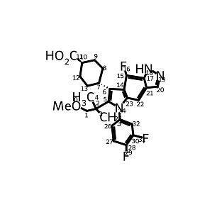 COCC(C)(C)c1c([C@H]2CC[C@H](C(=O)O)CC2)c2c(F)c3[nH]ncc3cc2n1-c1ccc(F)c(F)c1